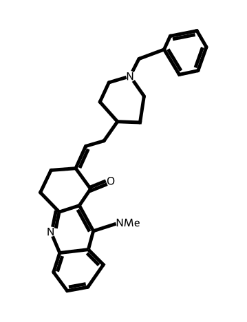 CNc1c2c(nc3ccccc13)CC/C(=C/CC1CCN(Cc3ccccc3)CC1)C2=O